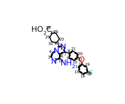 Nc1nccn2c1c(-c1ccc(Oc3cccc(F)c3)cc1)nc2[C@H]1CC[C@H](C(=O)O)CC1